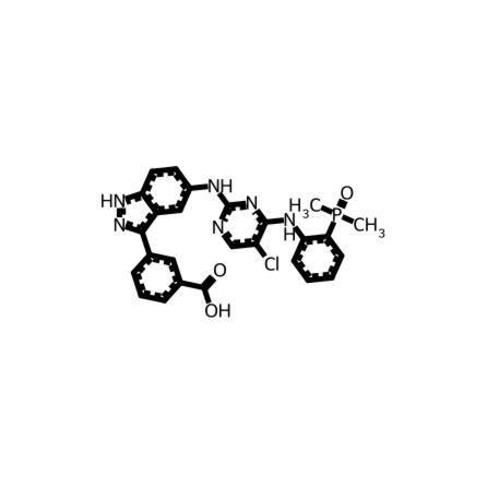 CP(C)(=O)c1ccccc1Nc1nc(Nc2ccc3[nH]nc(-c4cccc(C(=O)O)c4)c3c2)ncc1Cl